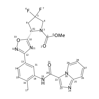 COC(=O)N1CC(F)(F)C[C@H]1c1nc(-c2ccc(C)c(NC(=O)c3cnc4ccccn34)c2)no1